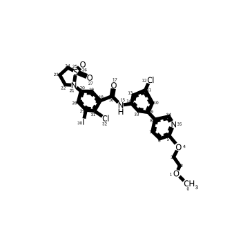 COCCOc1ccc(-c2cc(Cl)cc(NC(=O)c3cc(N4CCCS4(=O)=O)cc(I)c3Cl)c2)cn1